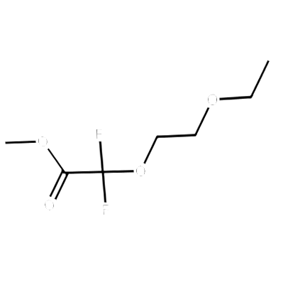 CCOCCOC(F)(F)C(=O)OC